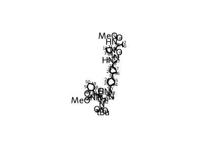 C=C(C)[C@H](NC(=O)OC)C(=O)N1CC=C[C@H]1c1ncc(-c2ccc(-c3ccc(-c4cnc([C@@H]5CN(C(=O)OC(C)(C)C)CN5C(=O)[C@@H](NC(=O)OC)C5CCCCC5)[nH]4)cc3)cc2)[nH]1